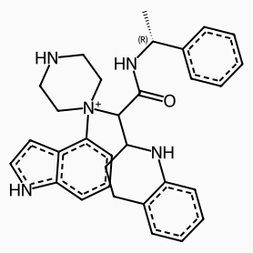 C[C@@H](NC(=O)C(C1CCc2ccccc2N1)[N+]1(c2cccc3[nH]ccc23)CCNCC1)c1ccccc1